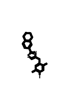 Cc1cc(Cc2csc(-c3ccc4c(c3)CCCC4)n2)c(C)cc1I